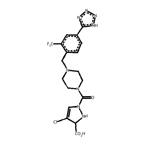 O=C(O)C1NN(C(=O)N2CCN(Cc3ccc(-c4nnn[nH]4)cc3C(F)(F)F)CC2)C=C1Cl